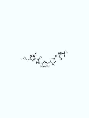 COCc1cc(C(=O)NC2C=C(C3CC(OC(=O)NC4(C)CC4)CO3)NN2)n(C)n1